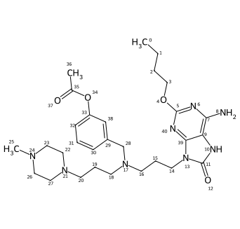 CCCCOc1nc(N)c2[nH]c(=O)n(CCCN(CCCN3CCN(C)CC3)Cc3cccc(OC(C)=O)c3)c2n1